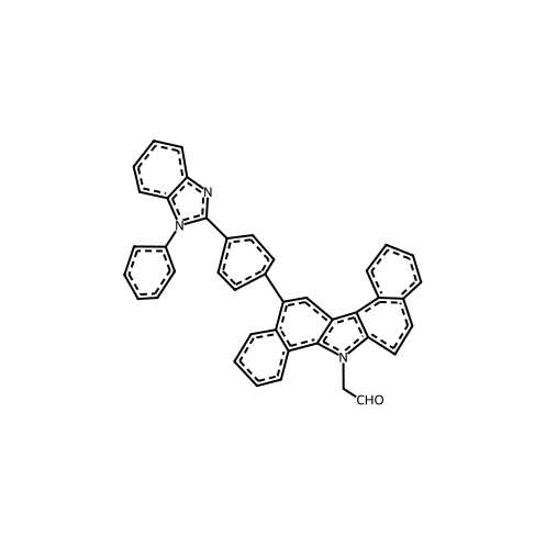 O=CCn1c2ccc3ccccc3c2c2cc(-c3ccc(-c4nc5ccccc5n4-c4ccccc4)cc3)c3ccccc3c21